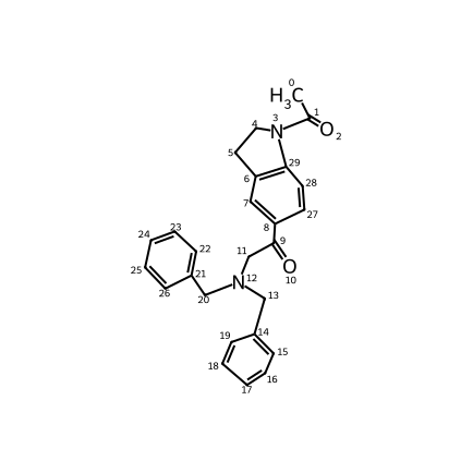 CC(=O)N1CCc2cc(C(=O)CN(Cc3ccccc3)Cc3ccccc3)ccc21